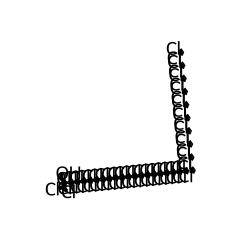 ClCCl.ClCCl.ClCCl.ClCCl.ClCCl.ClCCl.ClCCl.ClCCl.ClCCl.ClCCl.ClCCl.ClCCl.ClCCl.ClCCl.ClCCl.ClCCl.ClCCl.ClCCl.ClCCl.ClCCl.ClCCl.ClCCl.ClCCl.ClCCl.ClCCl.ClCCl.ClCCl.ClCCl.ClCCl.OCCC(Cl)Cl